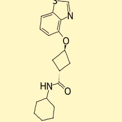 O=C(NC1CCCCC1)[C@H]1C[C@H](Oc2cccc3scnc23)C1